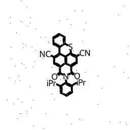 CC(C)c1cccc(C(C)C)c1-n1c(=O)c2cc(C#N)c3sc4ccccc4c4c(C#N)cc(c1=O)c2c34